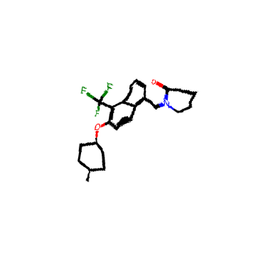 C[C@H]1CC[C@@H](Oc2ccc3c(CN4CCCCC4=O)cccc3c2C(F)(F)F)CC1